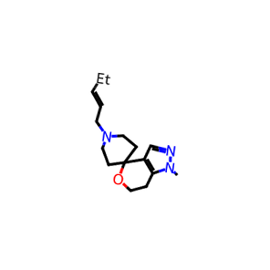 CCC=CCN1CCC2(CC1)OCCc1c2cnn1C